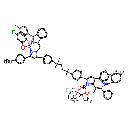 C/C(=C1/N=C(c2ccc(C)cc2)c2ccccc21)c1c(-c2ccc(C(C)(C)CCC(C)(C)c3ccc(-c4cc(-c5ccc(C(C)(C)C)cc5)c(/C(C)=C5\N=C(c6ccc(C)cc6)c6ccccc65)n4B4OC(C(F)(F)F)(C(F)(F)F)C(C(F)(F)F)(C(F)(F)F)O4)cc3)cc2)cc(-c2ccc(C(C)(C)C)cc2)n1B1Oc2ccc(F)cc2O1